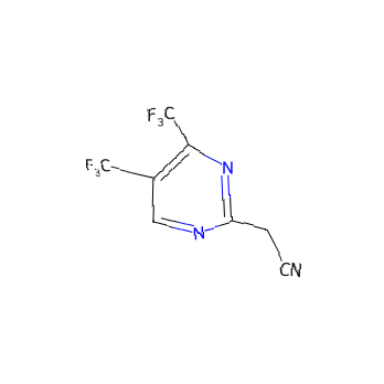 N#CCc1ncc(C(F)(F)F)c(C(F)(F)F)n1